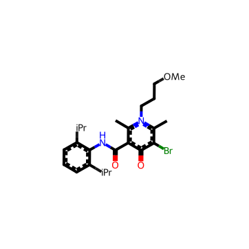 COCCCn1c(C)c(Br)c(=O)c(C(=O)Nc2c(C(C)C)cccc2C(C)C)c1C